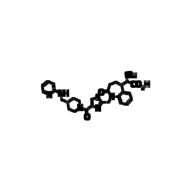 CC(C)(C)C(C(=O)O)C1CCC(=O)N(Cc2nc(C(=O)N3CCC(CNc4ccccn4)CC3)cs2)c2ccccc21